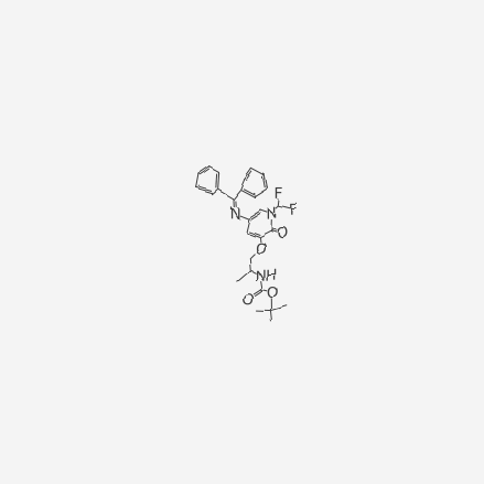 CC(COc1cc(N=C(c2ccccc2)c2ccccc2)cn(C(F)F)c1=O)NC(=O)OC(C)(C)C